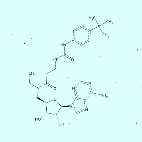 CCN(C[C@H]1O[C@@H](n2cnc3c(N)ncnc32)[C@H](O)[C@@H]1O)C(=O)CCNC(=O)Nc1ccc(C(C)(C)C)cc1